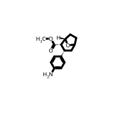 COC(=O)[C@@H]1[C@@H]2CCC(C[C@@H]1c1ccc(N)cc1)O2